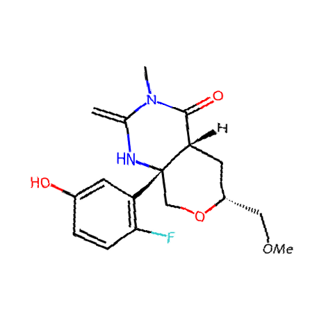 C=C1N[C@@]2(c3cc(O)ccc3F)CO[C@@H](COC)C[C@H]2C(=O)N1C